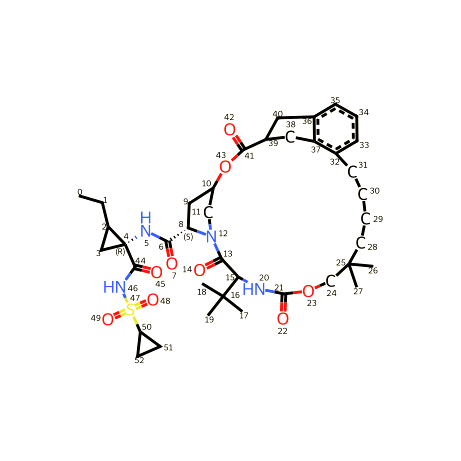 CCC1C[C@]1(NC(=O)[C@@H]1CC2CN1C(=O)C(C(C)(C)C)NC(=O)OCC(C)(C)CCCCc1cccc3c1CC(C3)C(=O)O2)C(=O)NS(=O)(=O)C1CC1